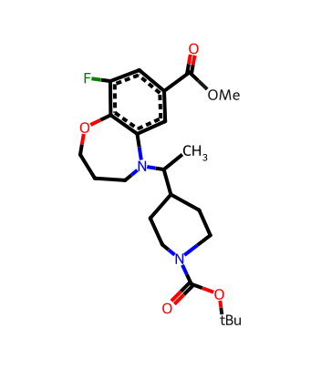 COC(=O)c1cc(F)c2c(c1)N(C(C)C1CCN(C(=O)OC(C)(C)C)CC1)CCCO2